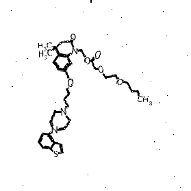 CCCCOCCOCC(=O)OCN1C(=O)CC(C)(C)c2ccc(OCCCCN3CCN(c4cccc5sccc45)CC3)cc21